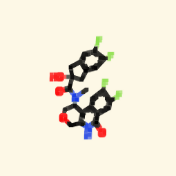 CN(C(=O)C1(O)Cc2cc(F)c(F)cc2C1)[C@H]1COCc2[nH]c(=O)c3cc(F)c(F)cc3c21